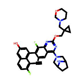 C#Cc1c(F)ccc2cc(O)cc(-c3c(C)cc4c(N5CC6CCC(C5)N6)nc(OCC5(CN6CCCOC6)CC5)nc4c3F)c12